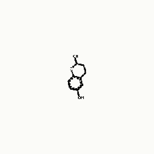 N#CC1CCc2cc(O)ccc2O1